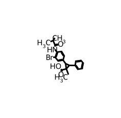 CCC1(C(=O)O)C(c2ccccc2)C1c1ccc(NC(=O)C(C)C)c(Br)c1